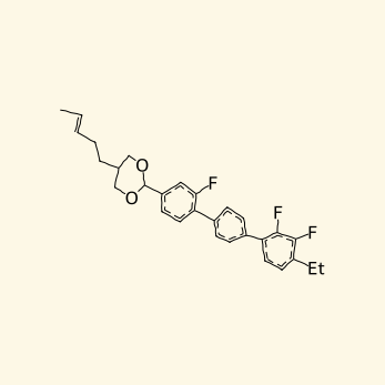 C/C=C/CCC1COC(c2ccc(-c3ccc(-c4ccc(CC)c(F)c4F)cc3)c(F)c2)OC1